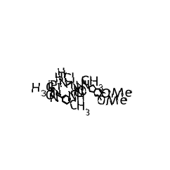 COc1cc2c(cc1OC)CC(N(C)C(=O)CN(CCNC(C)C)C(=O)CNc1cc(-c3noc(C)n3)ccc1C)C2.Cl